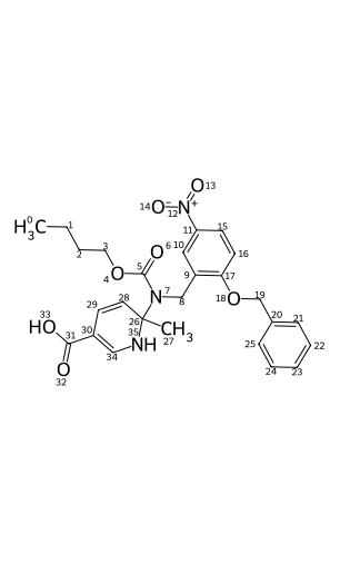 CCCCOC(=O)N(Cc1cc([N+](=O)[O-])ccc1OCc1ccccc1)C1(C)C=CC(C(=O)O)=CN1